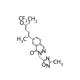 C=C/C(=C\C=C(/C)c1ccc2cnn(Cc3nc(C)no3)c(=O)c2c1)OC(F)(F)F